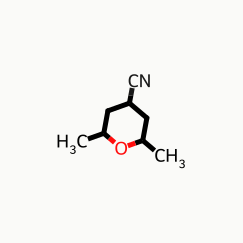 CC1CC(C#N)CC(C)O1